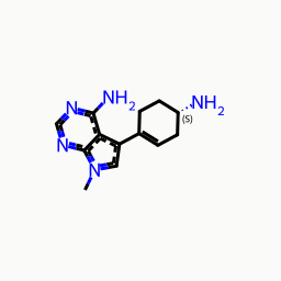 Cn1cc(C2=CC[C@@H](N)CC2)c2c(N)ncnc21